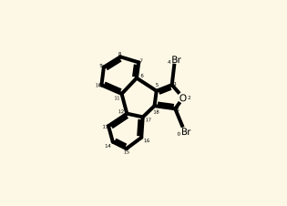 Brc1oc(Br)c2c3ccccc3c3ccccc3c12